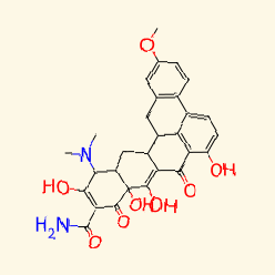 COc1ccc2c(c1)CC1c3c-2ccc(O)c3C(=O)C2=C(O)C3(O)C(=O)C(C(N)=O)=C(O)C(N(C)C)C3CC21